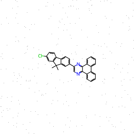 CC1(C)c2cc(Cl)ccc2-c2ccc(-c3cnc4c5ccccc5c5ccccc5c4n3)cc21